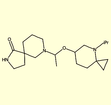 CC(OC1CCC2(CC2)N(C(C)C)C1)N1CCCC2(CCNC2=O)C1